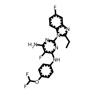 CCc1nc2cc(F)ccc2n1-c1nc(N)c(F)c(Nc2ccc(OC(F)F)cc2)n1